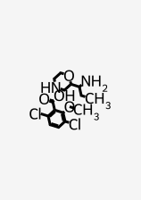 CCC(N)C1CNCCO1.COc1c(Cl)ccc(Cl)c1C(=O)O